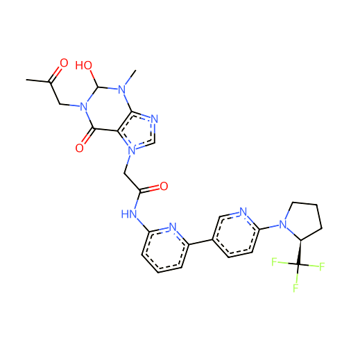 CC(=O)CN1C(=O)c2c(ncn2CC(=O)Nc2cccc(-c3ccc(N4CCC[C@H]4C(F)(F)F)nc3)n2)N(C)C1O